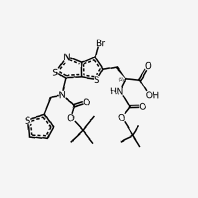 CC(C)(C)OC(=O)N[C@@H](Cc1sc2c(N(Cc3cccs3)C(=O)OC(C)(C)C)snc2c1Br)C(=O)O